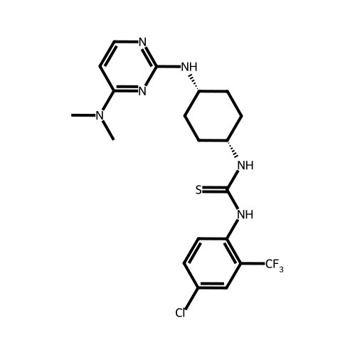 CN(C)c1ccnc(N[C@H]2CC[C@@H](NC(=S)Nc3ccc(Cl)cc3C(F)(F)F)CC2)n1